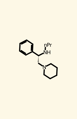 CCCN[C@H](CN1CCCCC1)c1ccccc1